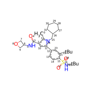 Cc1c(C(=O)NC2COC2)cc(-c2ccc(S(=O)(=O)NC(C)(C)C)c(C(C)(C)C)c2)n1CC1CCCCC1